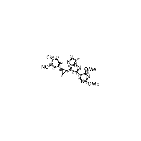 COc1ncc(-c2cc([C@H]3C[C@@H]3c3ccc(Cl)c(C#N)c3)c3nccn3n2)c(OC)n1